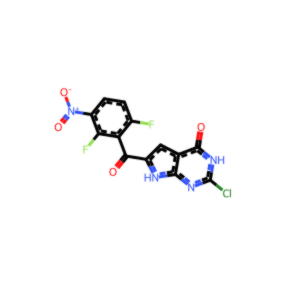 O=C(c1cc2c(=O)[nH]c(Cl)nc2[nH]1)c1c(F)ccc([N+](=O)[O-])c1F